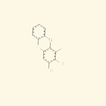 Cc1cc2c(c(C)c1C)[N]c1ccccc1O2